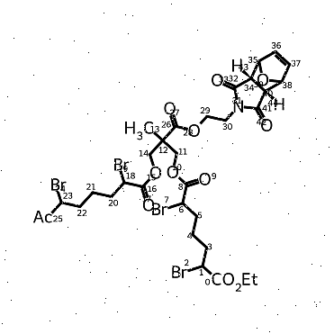 CCOC(=O)C(Br)CCCC(Br)C(=O)OCC(C)(COC(=O)C(Br)CCCC(Br)C(C)=O)C(=O)OCCN1C(=O)[C@@H]2C3C=CC(O3)[C@@H]2C1=O